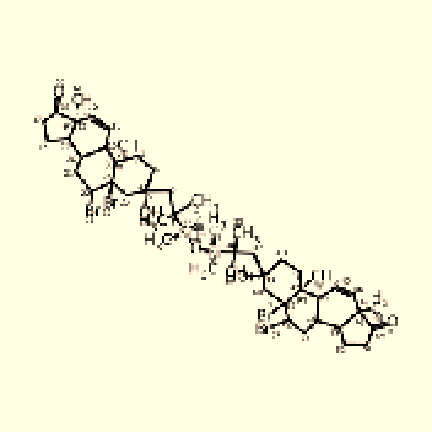 CC(C)(C[C@@]1(O)CC[C@]2(C)C3C=C[C@]4(C)C(=O)CCC4C3CC(Br)C2(Br)C1)[Si](C)(C)O[Si](C)(C)C(C)(C)C[C@]1(O)CC[C@]2(C)C3C=C[C@]4(C)C(=O)CCC4C3CC(Br)C2(Br)C1